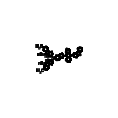 CCCCC1(CCCC)c2cc(C)ccc2-c2ccc(N(c3ccc4c(c3)C(CCCC)(CCCC)c3cc(C)ccc3-4)c3ccc4cc(-c5c6ccccc6c(-c6ccc7sc8ccccc8c7c6)c6ccccc56)ccc4c3)cc21